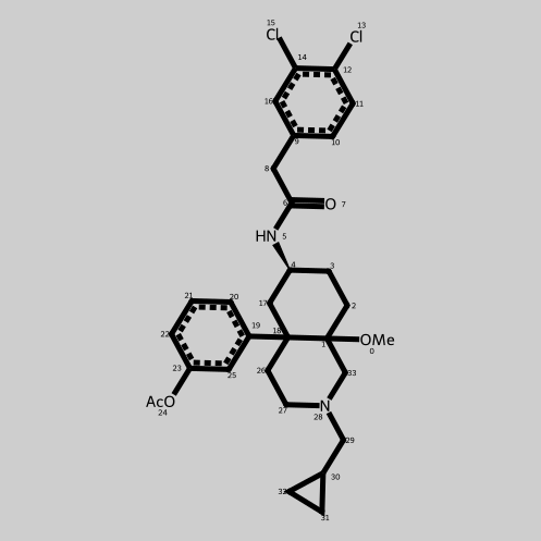 COC12CC[C@H](NC(=O)Cc3ccc(Cl)c(Cl)c3)CC1(c1cccc(OC(C)=O)c1)CCN(CC1CC1)C2